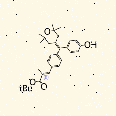 C/C(=C\c1ccc(C(=C2CC(C)(C)OC(C)(C)C2)c2ccc(O)cc2)cc1)C(=O)OC(C)(C)C